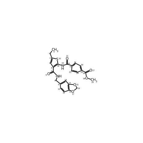 CCc1cc(C(=O)NCc2ccc3c(c2)OCO3)c(NC(=O)c2ccc(C(=O)OC)cc2)s1